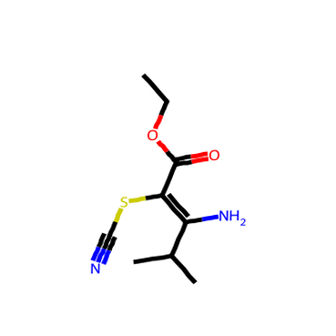 CCOC(=O)C(SC#N)=C(N)C(C)C